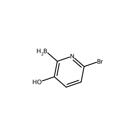 Bc1nc(Br)ccc1O